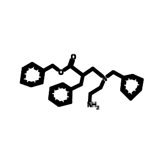 NCCN(Cc1ccccc1)CC(Cc1ccccc1)C(=O)OCc1ccccc1